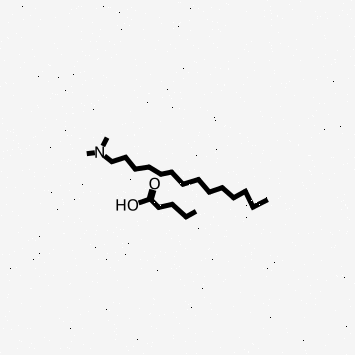 CCCCC(=O)O.CCCCCCCCCCCCCCN(C)C